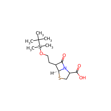 CC(C)(C)[Si](C)(C)OCCC1C(=O)N2C(C(=O)O)CS[C@@H]12